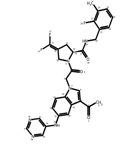 CC(=O)c1cn(CC(=O)N2CC(=C(F)F)C[C@H]2C(=O)NCc2cccc(C)c2F)c2ccc(Nc3cncnc3)cc12